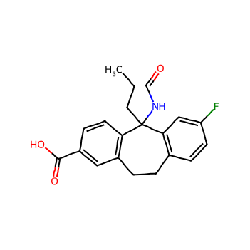 CCCC1(NC=O)c2ccc(C(=O)O)cc2CCc2ccc(F)cc21